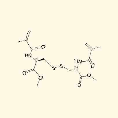 C=C(C)C(=O)N[C@@H](CSSC[C@H](NC(=O)C(=C)C)C(=O)OC)C(=O)OC